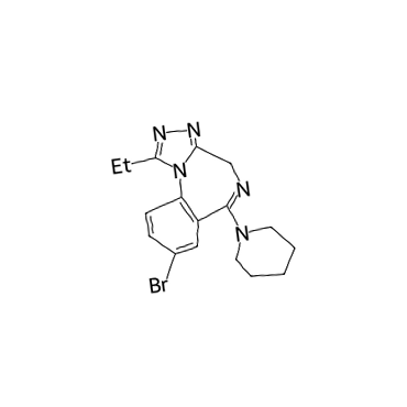 CCc1nnc2n1-c1ccc(Br)cc1C(N1CCCCC1)=NC2